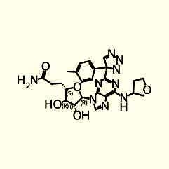 Cc1ccc(C2(c3nc(NC4CCOC4)c4ncn([C@@H]5O[C@@H](CCC(N)=O)[C@H](O)[C@H]5O)c4n3)C=NN=N2)cc1